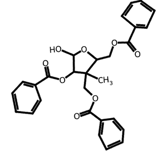 CC1(COC(=O)c2ccccc2)C(COC(=O)c2ccccc2)OC(O)C1OC(=O)c1ccccc1